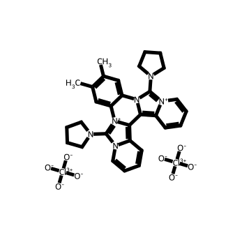 Cc1cc2c(cc1C)[n+]1c(N3CCCC3)n3ccccc3c1c1c3cccc[n+]3c(N3CCCC3)n21.[O-][Cl+3]([O-])([O-])[O-].[O-][Cl+3]([O-])([O-])[O-]